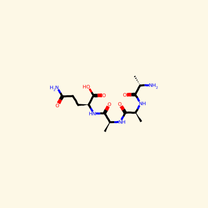 C[C@H](N)C(=O)N[C@@H](C)C(=O)N[C@@H](C)C(=O)N[C@@H](CCC(N)=O)C(=O)O